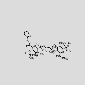 COC(=O)C1O[C@@H](C(C)(C)OC(C)C)[C@@H](O)[C@@H](O)[C@@H]1OC(C)(C)CCOC(C)(C)[C@@H]1OC(C(=O)OCC2CCCO2)[C@@H](OC(C)(C)C(C)C)[C@H](O)[C@@H]1O